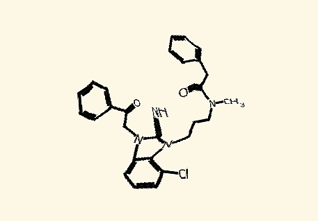 CN(CCCn1c(=N)n(CC(=O)c2ccccc2)c2cccc(Cl)c21)C(=O)Cc1ccccc1